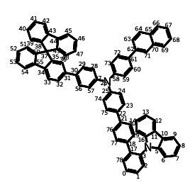 c1ccc(-n2c3ccccc3c3ccccc32)c(-c2ccc(-c3ccc(N(c4ccc(-c5ccc6c(c5)C5(c7ccccc7-c7ccccc75)c5ccccc5-6)cc4)c4ccc(-c5ccc6ccccc6c5)cc4)cc3)cc2)c1